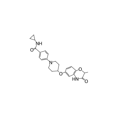 CC1Oc2ccc(OC3CCN(c4ccc(C(=O)NC5CC5)cc4)CC3)cc2NC1=O